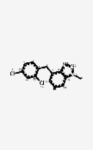 Cn1nnc2c(Cc3ccc(Cl)cc3Cl)cccc21